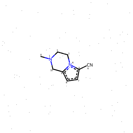 CN1CCn2c(C#N)ccc2C1